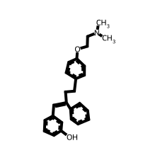 CN(C)CCOc1ccc(CCC(=Cc2cccc(O)c2)c2ccccc2)cc1